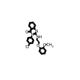 COc1ccccc1OCCNc1nc2ccccc2c(=O)n1-c1ccc(Cl)cc1